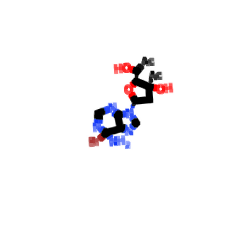 CC(=O)C(O)[C@H]1O[C@@H](N2CN=C3C2=NC=NC3(N)Br)C[C@@]1(O)C(C)=O